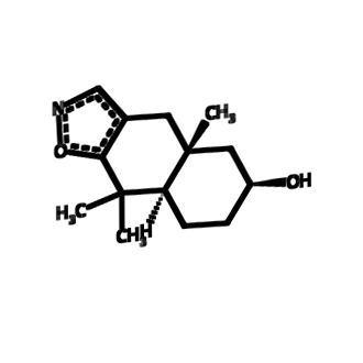 CC1(C)c2oncc2C[C@]2(C)C[C@@H](O)CC[C@@H]12